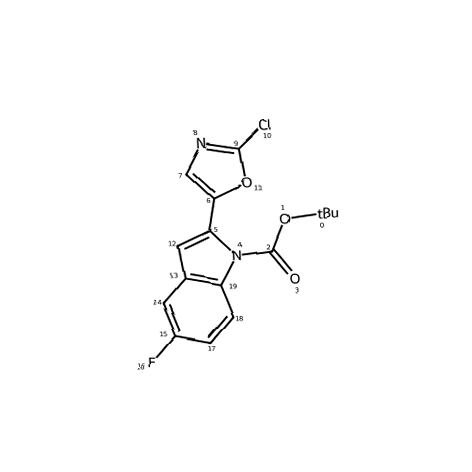 CC(C)(C)OC(=O)n1c(-c2cnc(Cl)o2)cc2cc(F)ccc21